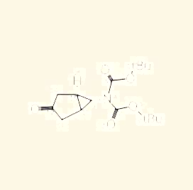 CC(C)(C)OC(=O)N(C(=O)OC(C)(C)C)[C@@H]1C2CC(=O)C[C@H]21